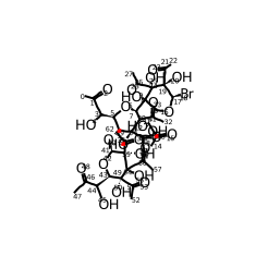 CC(=O)C(O)[C@H]1O[C@@H]([C@@]2(O)[C@@H](C(O)C(C)=O)O[C@H](Br)[C@@](O)(C(C)=O)[C@]2(O)C(C)=O)[C@@](O)(C(C)=O)[C@](O)(C(C)=O)[C@@H]1O[C@@H]1O[C@H](C(O)C(C)=O)[C@](O)(C(C)=O)[C@@](O)(C(C)=O)[C@]1(O)C(C)=O